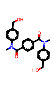 CN(C(=O)c1ccc(C(=O)N(C)c2ccc(CO)cc2)cc1)c1ccc(CO)cc1